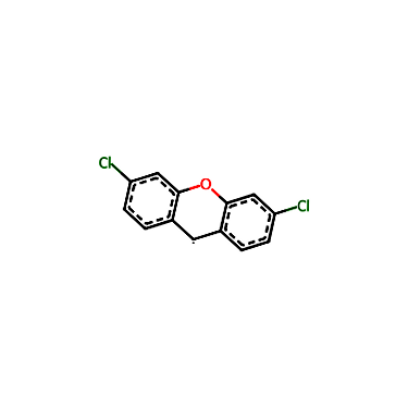 Clc1ccc2c(c1)Oc1cc(Cl)ccc1[CH]2